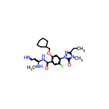 CCc1nn(-c2cc(OCC3CCCCC3)c(C(=O)N/C(=C/C=N)NC)cc2F)c(=O)n1C